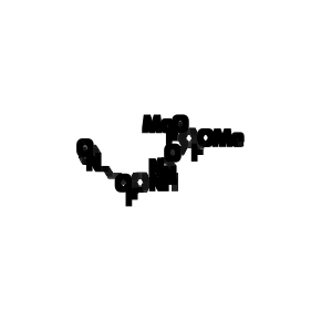 COc1cc(OC)c(F)c(COc2cnc(Nc3ccc(OCCCCN4CCOCC4)c(F)c3)nc2)c1F